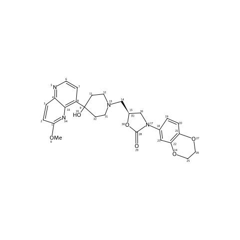 COc1ccc2nccc(C3(O)CCN(C[C@H]4CN(c5ccc6c(c5)OCCO6)C(=O)O4)CC3)c2n1